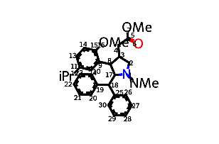 CNN1CC(CC(=O)OC)C(c2cc(C(C)C)ccc2OC)C1C(c1ccccc1)c1ccccc1